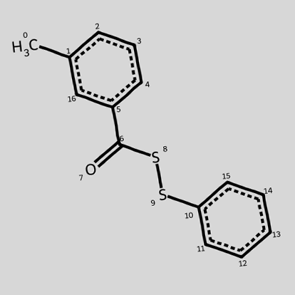 Cc1cccc(C(=O)SSc2ccccc2)c1